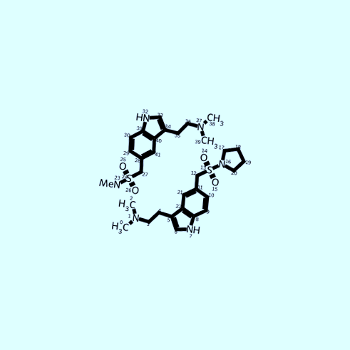 CN(C)CCc1c[nH]c2ccc(CS(=O)(=O)N3CCCC3)cc12.CNS(=O)(=O)Cc1ccc2[nH]cc(CCN(C)C)c2c1